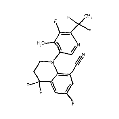 Cc1c(N2CCC(F)(F)c3cc(F)cc(C#N)c32)cnc(C(C)(F)F)c1F